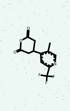 Cc1cnc(C(F)(F)F)cc1C1CC(=O)OC(=O)C1